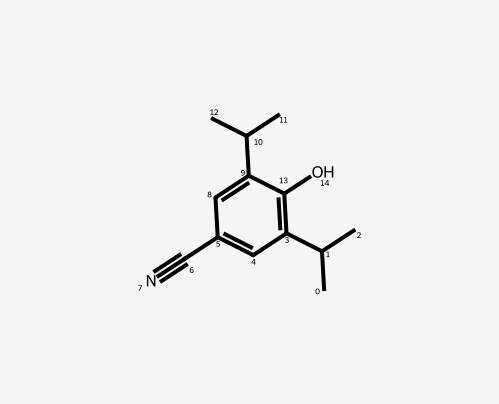 CC(C)c1cc(C#N)cc(C(C)C)c1O